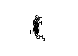 Cc1ccc(Nc2ncnc3c2ncn3-n2cnc3c(Nc4cc([N+](=O)[O-])ccc4F)ncnc32)c(F)c1